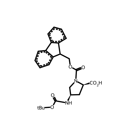 CC(C)(C)OC(=O)N[C@@H]1C[C@H](C(=O)O)N(C(=O)OCC2c3ccccc3-c3ccccc32)C1